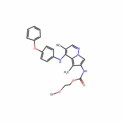 CCOCCOC(=O)Nc1cn2ncc(C#N)c(Nc3ccc(Oc4ccccc4)cc3)c2c1C